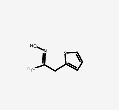 CC(Cc1cccs1)=NO